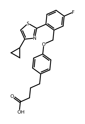 O=C(O)CCCc1ccc(OCc2cc(F)ccc2-c2nc(C3CC3)cs2)cc1